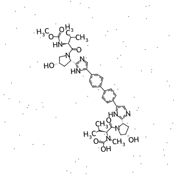 COC(=O)N[C@H](C(=O)N1C[C@@H](O)C[C@H]1c1ncc(-c2ccc(-c3ccc(-c4cnc([C@@H]5C[C@H](O)CN5C(=O)[C@H](C(C)C)N(C)C(=O)O)[nH]4)cc3)cc2)[nH]1)C(C)C